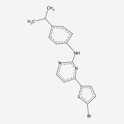 CC(C)c1ccc(Nc2nccc(-c3ccc(Br)s3)n2)cc1